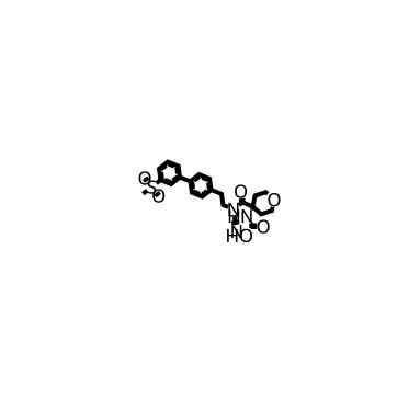 CS(=O)(=O)c1cccc(-c2ccc(CCN(C#N)C(=O)C3(NC(=O)O)CCOCC3)cc2)c1